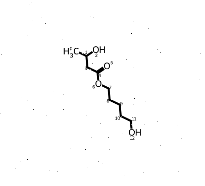 CC(O)CC(=O)OCCCCCO